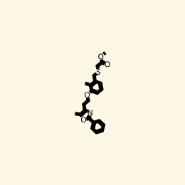 COC(=O)CSCc1cccc(OCCc2nc(-c3ccccc3)oc2C)c1C